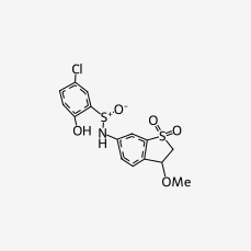 COC1CS(=O)(=O)c2cc(N[S+]([O-])c3cc(Cl)ccc3O)ccc21